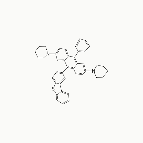 c1ccc(-c2c3ccc(N4CCCCC4)cc3c(-c3ccc4sc5ccccc5c4c3)c3ccc(N4CCCCC4)cc23)cc1